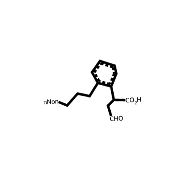 CCCCCCCCCCCCc1ccccc1C(CC=O)C(=O)O